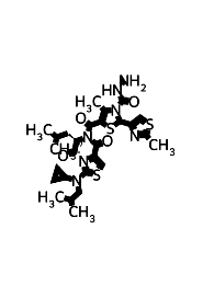 CC1=C(C(=O)N(C(=O)c2csc(N(CC(C)C)C3CC3)n2)[C@H]([C]=O)CC(C)C)SC(c2csc(C)n2)N1C(=O)NN